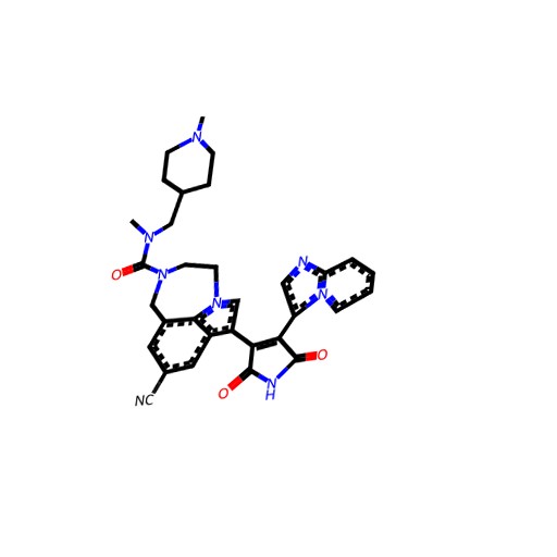 CN1CCC(CN(C)C(=O)N2CCn3cc(C4=C(c5cnc6ccccn56)C(=O)NC4=O)c4cc(C#N)cc(c43)C2)CC1